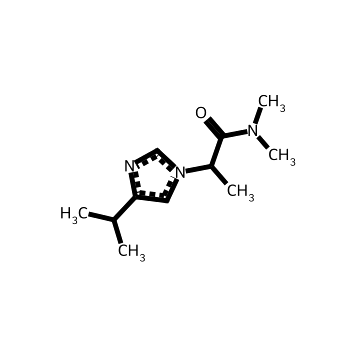 CC(C)c1cn(C(C)C(=O)N(C)C)cn1